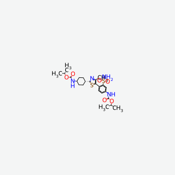 Cc1nc([C@H]2CC[C@H](NC(=O)OC(C)C)CC2)sc1-c1ccc(NC(=O)OC(C)C)cc1S(N)(=O)=O